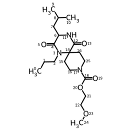 CCCN1C(=O)C(CC(C)C)NC(=O)C12CCN(C(=O)OCCOC)CC2